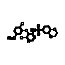 COc1ccc(Cl)c(Oc2c(Cl)ncnc2NS(=O)(=O)c2ccc3c(c2)OCCO3)c1